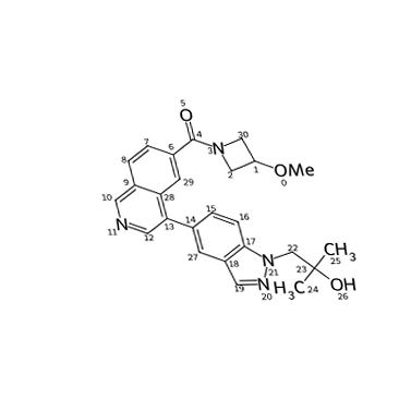 COC1CN(C(=O)c2ccc3cncc(-c4ccc5c(cnn5CC(C)(C)O)c4)c3c2)C1